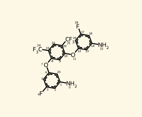 Nc1cc(F)cc(Oc2cc(Oc3cc(N)cc(F)c3)c(C(F)(F)F)cc2C(F)(F)F)c1